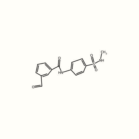 CNS(=O)(=O)c1ccc(NC(=O)c2cccc(C=O)c2)cc1